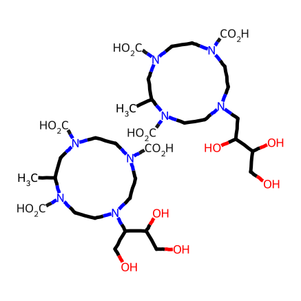 CC1CN(C(=O)O)CCN(C(=O)O)CCN(C(CO)C(O)CO)CCN1C(=O)O.CC1CN(C(=O)O)CCN(C(=O)O)CCN(CC(O)C(O)CO)CCN1C(=O)O